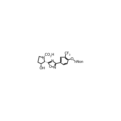 CCCCCCCCCOc1ccc(-c2noc([C@@H]3[C@@H](O)CCN3C(=O)O)n2)cc1C(F)(F)F